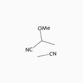 CC#N.COC(C)C#N